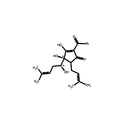 CC(C)=CCC1C(=O)C(C(=O)C(C)C)=C(O)[C@@]1(O)[C@@H](O)CC=C(C)C